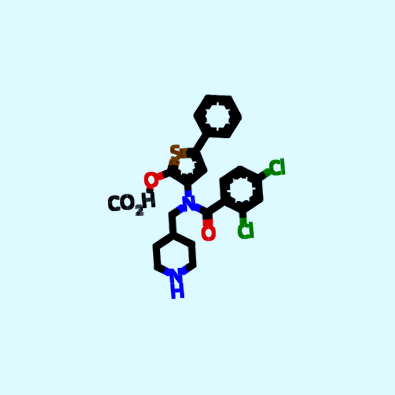 O=C(O)Oc1sc(-c2ccccc2)cc1N(CC1CCNCC1)C(=O)c1ccc(Cl)cc1Cl